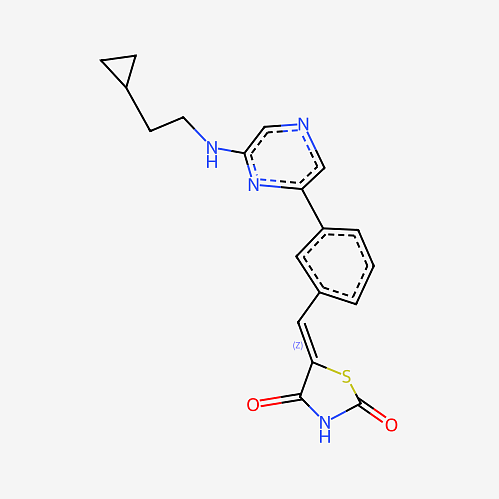 O=C1NC(=O)/C(=C/c2cccc(-c3cncc(NCCC4CC4)n3)c2)S1